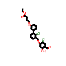 CCOC(=O)CCCOc1cccc(-c2cccc(COc3cc(O)c(C=O)cc3Cl)c2Cl)c1